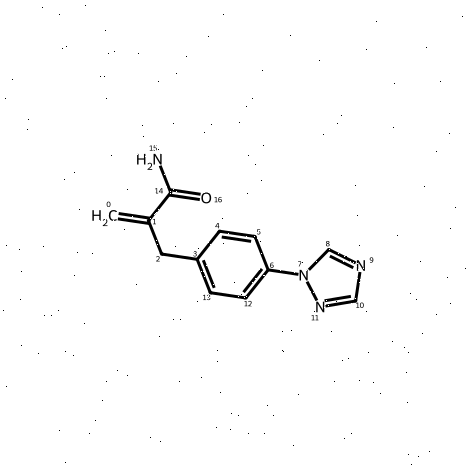 C=C(Cc1ccc(-n2cncn2)cc1)C(N)=O